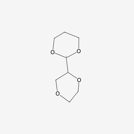 C1CO[C](C2COCCO2)OC1